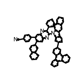 N#Cc1ccc(-c2cc3nc(-c4ccccc4)c(-n4c5cc(-c6ccc7c8ccccc8c8ccccc8c7c6)ccc5c5cc6ccccc6cc54)nc3cc2-c2ccc3ccccc3c2)cc1